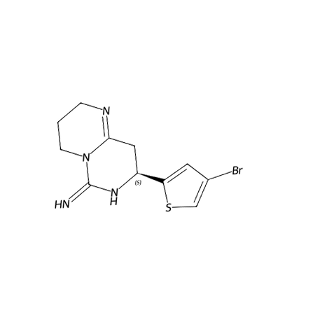 N=C1N[C@H](c2cc(Br)cs2)CC2=NCCCN12